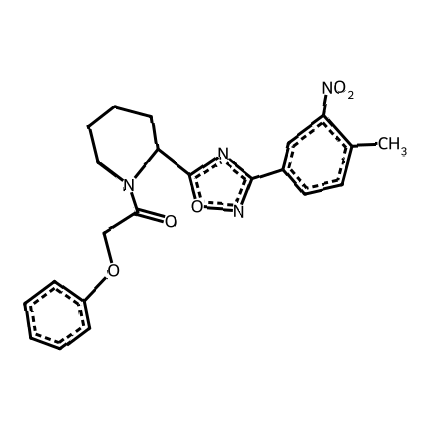 Cc1ccc(-c2noc(C3CCCCN3C(=O)COc3ccccc3)n2)cc1[N+](=O)[O-]